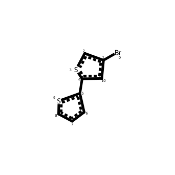 Brc1csc(-c2cccs2)c1